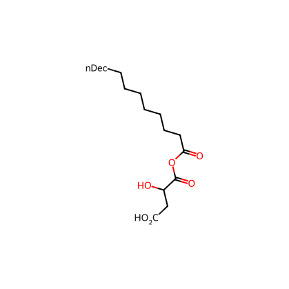 CCCCCCCCCCCCCCCCCC(=O)OC(=O)C(O)CC(=O)O